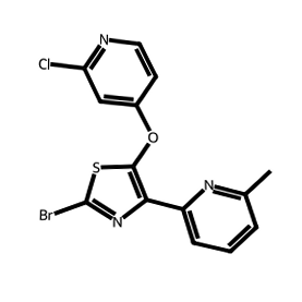 Cc1cccc(-c2nc(Br)sc2Oc2ccnc(Cl)c2)n1